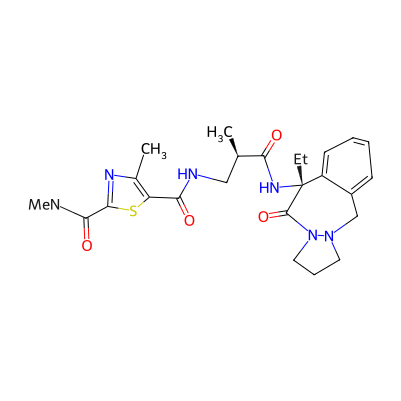 CC[C@]1(NC(=O)[C@H](C)CNC(=O)c2sc(C(=O)NC)nc2C)C(=O)N2CCCN2Cc2ccccc21